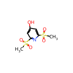 CS(=O)(=O)c1cc(O)cc(S(C)(=O)=O)n1